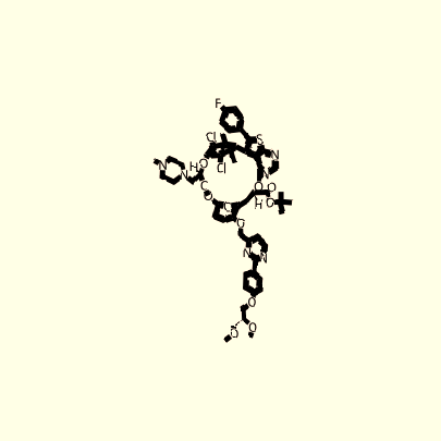 COC[C@H](COc1ccc(-c2nccc(COc3ccc4cc3C[C@H](C(=O)OC(C)(C)C)Oc3ncnc5sc(-c6ccc(F)cc6)c(c35)-c3c(C)c(Cl)c(c(Cl)c3C)O[C@H](CN3CCN(C)CC3)CO4)n2)cc1)OC